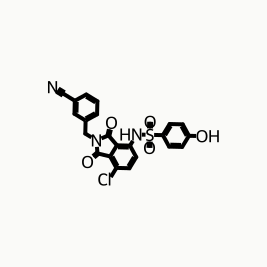 N#Cc1cccc(CN2C(=O)c3c(Cl)ccc(NS(=O)(=O)c4ccc(O)cc4)c3C2=O)c1